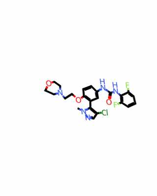 Cn1ncc(Cl)c1-c1cc(NC(=O)Nc2c(F)cccc2F)ccc1OCCN1CCOCC1